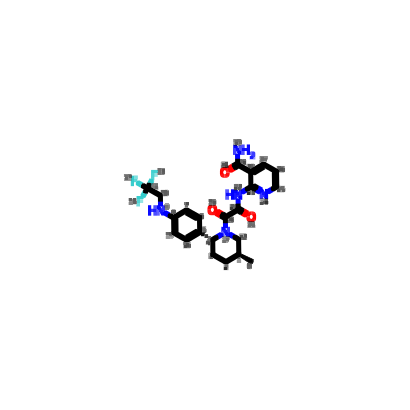 C[C@H]1CC[C@H](c2ccc(NCC(F)(F)F)cc2)N(C(=O)C(=O)Nc2ncccc2C(N)=O)C1